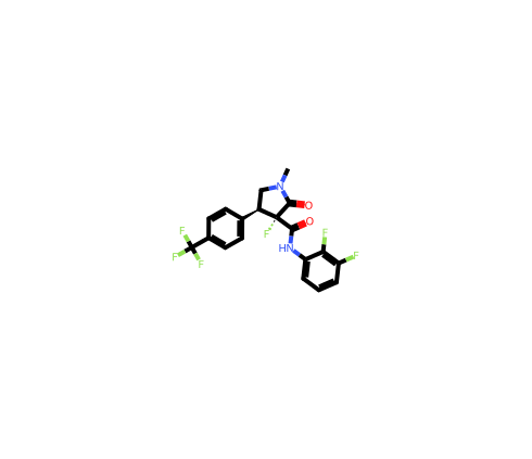 CN1C[C@H](c2ccc(C(F)(F)F)cc2)[C@](F)(C(=O)Nc2cccc(F)c2F)C1=O